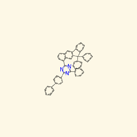 c1ccc(-c2ccc(-c3nc(-c4ccccc4)nc(-c4cccc5cc6c(cc45)C(c4ccccc4)(c4ccccc4)c4ccccc4-6)n3)cc2)cc1